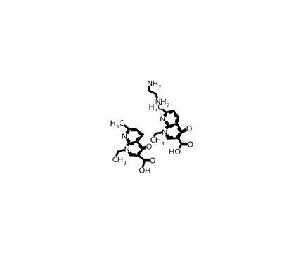 CCn1cc(C(=O)O)c(=O)c2ccc(C)nc21.CCn1cc(C(=O)O)c(=O)c2ccc(C)nc21.NCCN